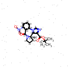 CC(C)(C)OC(=O)c1ncn2c1[C@@H]1CCCN1C(=O)c1c-2cccc1[N+](=O)[O-]